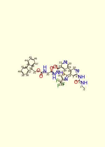 CCNC(=O)Nc1cc(-c2nc(C(F)(F)F)cs2)c(-c2cncc(C(=O)NNC(=O)CNC(=O)OCC3c4ccccc4-c4ccccc43)c2)cn1